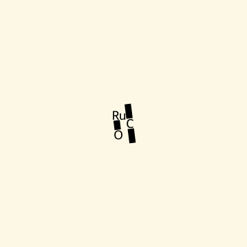 C=C=C.[O]=[Ru]